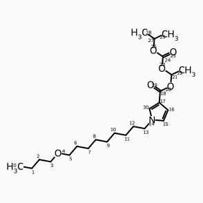 CCCCOCCCCCCCCCn1ccc(C(=O)OC(C)OC(=O)OC(C)C)c1